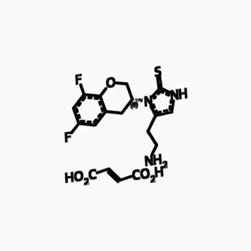 NCCc1c[nH]c(=S)n1[C@H]1COc2c(F)cc(F)cc2C1.O=C(O)C=CC(=O)O